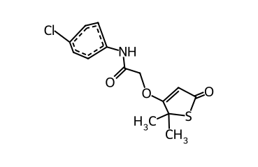 CC1(C)SC(=O)C=C1OCC(=O)Nc1ccc(Cl)cc1